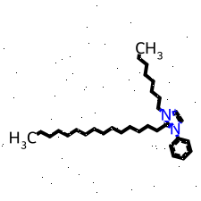 CCCCCCCCCCCCCCCc1n(-c2ccccc2)cc[n+]1CCCCCCCC